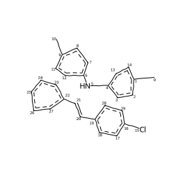 Cc1ccc(Nc2ccc(C)cc2)cc1.Clc1ccc(C=Cc2ccccc2)cc1